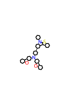 c1ccc(-n2c3ccc(-c4ccc(N(c5ccc6c(c5)oc5ccccc56)c5ccc6c(c5)oc5ccccc56)cc4)cc3c3c4ccccc4sc32)cc1